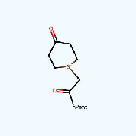 CCCCCC(=O)C[S+]1CCC(=O)CC1